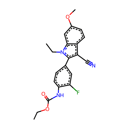 CCOC(=O)Nc1ccc(-c2c(C#N)c3ccc(OC)cc3n2CC)cc1F